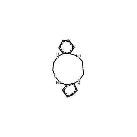 c1ccc2c(c1)NCCCNc1ccccc1NCCCN2